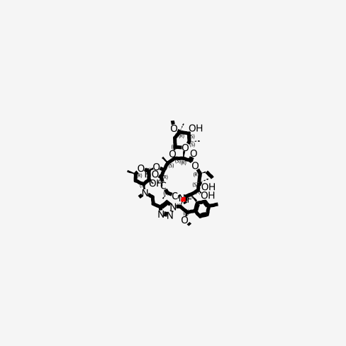 CC[C@H]1OC(=O)[C@H](C)[C@@H](O[C@H]2C[C@@](C)(OC)[C@@H](O)[C@H](C)O2)[C@H](C)C(O[C@@H]2O[C@H](C)C[C@H](N(C)CCc3cn([C@H](CF)[C@H](OC)c4ccc(C)cc4)nn3)[C@H]2O)[C@](C)(O)C[C@@H](C)CN(C)[C@H](C)[C@@H](O)[C@]1(C)O